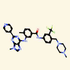 Cc1ccc(C(=O)Nc2ccc(CN3CCN(C)CC3)c(C(F)(F)F)c2)cc1Nc1nc(-c2ccncc2)nc2c1ncn2C